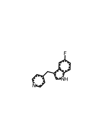 Fc1ccc2[nH]cc(Cc3ccncc3)c2c1